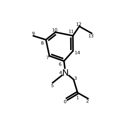 C=C(C)CN(C)c1cc(C)cc(CC)c1